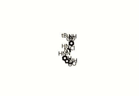 CC(C)(C)NS(=O)(=O)c1cccc(Nc2nc(Nc3ccc4c(c3)[C@@H]3NC(=O)OC3C4)ncc2Cl)c1